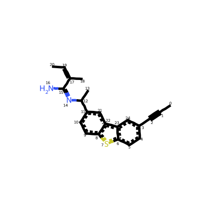 CC#Cc1ccc2sc3ccc(C(C)/N=C(N)\C(C)=C/C)cc3c2c1